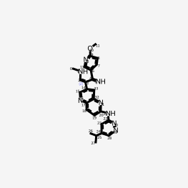 CN/C=C(\C(=N)c1ccc(OC)nc1)c1cnc2ccc(Nc3cc(C(C)C)cnn3)nc2c1